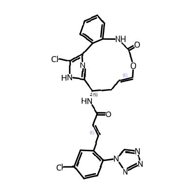 O=C(/C=C/c1cc(Cl)ccc1-n1cnnn1)N[C@H]1C/C=C/OC(=O)Nc2ccccc2-c2nc1[nH]c2Cl